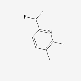 Cc1ccc(C(C)F)nc1C